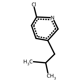 CC(C)Cc1ccc(Cl)nc1